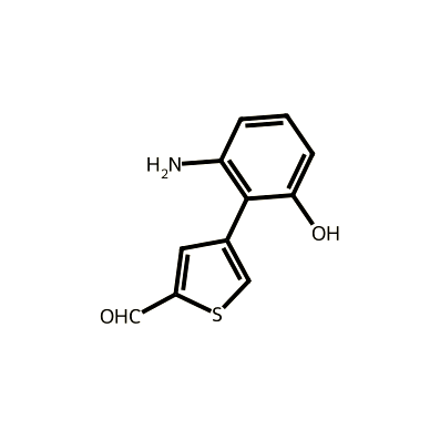 Nc1cccc(O)c1-c1csc(C=O)c1